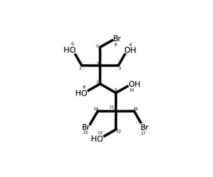 OCC(CO)(CBr)C(O)C(O)C(CO)(CBr)CBr